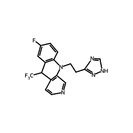 Fc1ccc2c(c1)C(C(F)(F)F)c1ccncc1N2CCc1nc[nH]n1